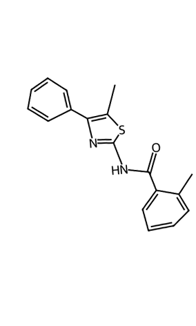 Cc1ccccc1C(=O)Nc1nc(-c2ccccc2)c(C)s1